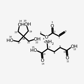 C=CC(=O)OC.NC(CCC(=O)O)C(=O)O.OCC(CO)(CO)CO